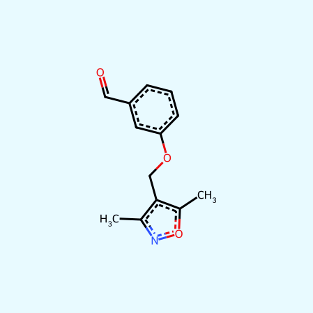 Cc1noc(C)c1COc1cccc(C=O)c1